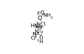 C[C@H](NC(=O)Cn1nc(C(F)(F)F)c2c1C1CC1C2O)C1=C(c2ccc(F)c(C(N)=O)c2)C=CCN1